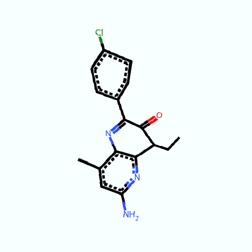 CCC1C(=O)C(c2ccc(Cl)cc2)=Nc2c(C)cc(N)nc21